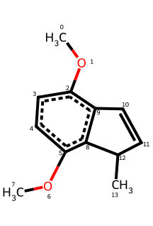 COc1ccc(OC)c2c1C=CC2C